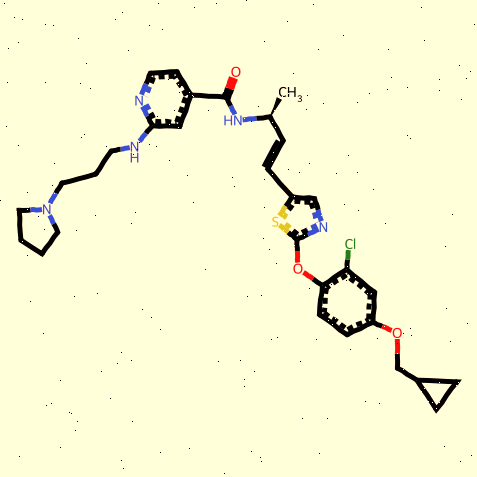 C[C@@H](/C=C/c1cnc(Oc2ccc(OCC3CC3)cc2Cl)s1)NC(=O)c1ccnc(NCCCN2CCCC2)c1